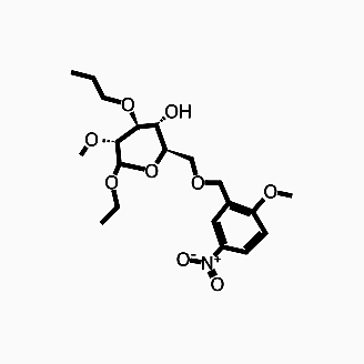 CCCO[C@H]1[C@H](O)[C@@H](COCc2cc([N+](=O)[O-])ccc2OC)OC(OCC)[C@@H]1OC